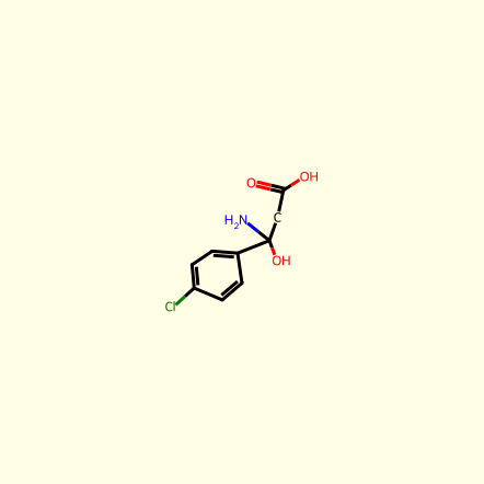 NC(O)(CC(=O)O)c1ccc(Cl)cc1